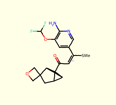 CS/C(=C/C(=O)C12C3CC4(COC4)C1C32)c1cnc(N)c(OC(F)F)c1